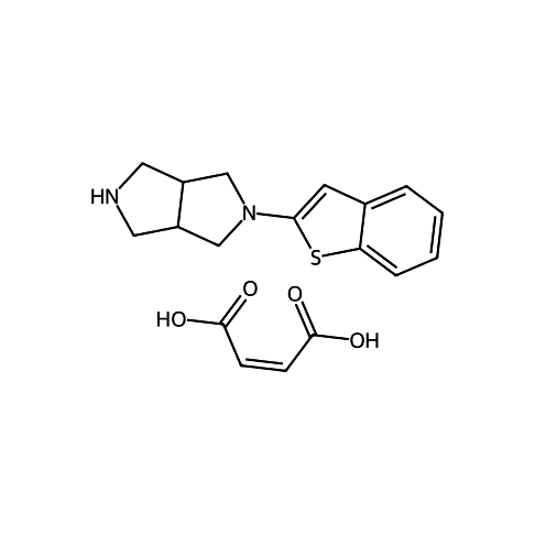 O=C(O)/C=C\C(=O)O.c1ccc2sc(N3CC4CNCC4C3)cc2c1